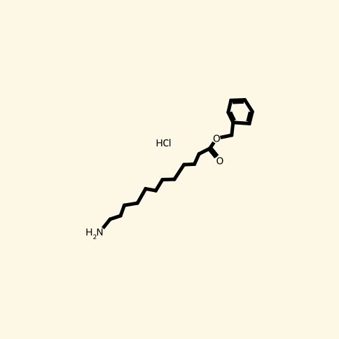 Cl.NCCCCCCCCCCCC(=O)OCc1ccccc1